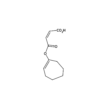 O=C(O)/C=C\C(=O)OC1=CCCCCC1